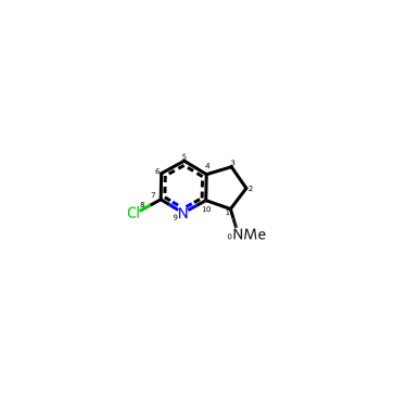 CNC1CCc2ccc(Cl)nc21